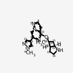 Cn1cc(-c2cn3nccc3c(O[C@@]3(C)C[C@H]4NCC[C@H]43)n2)cn1